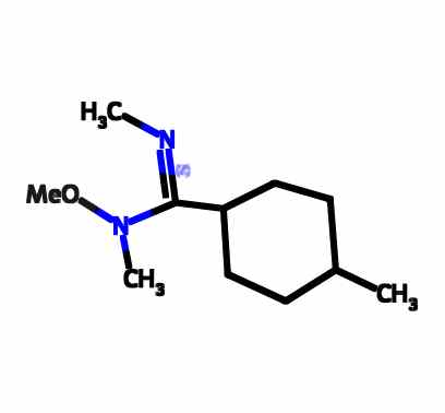 C/N=C(/C1CCC(C)CC1)N(C)OC